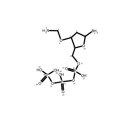 BC1CC(OCN)C(COP(=O)(O)OP(=O)(O)OP(=O)(O)O)O1